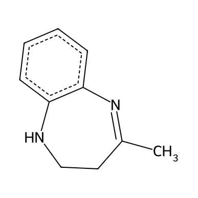 CC1=Nc2ccccc2NCC1